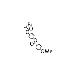 CCC(C)C(C)C(=O)Oc1ccc(OC(=O)c2ccc(OC)cc2)cc1